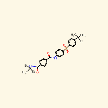 CCC(C)(CC)NC(=O)c1ccc(C(=O)Nc2ccc(S(=O)(=O)c3ccc(C(C)(C)CC)cc3)cc2)cc1